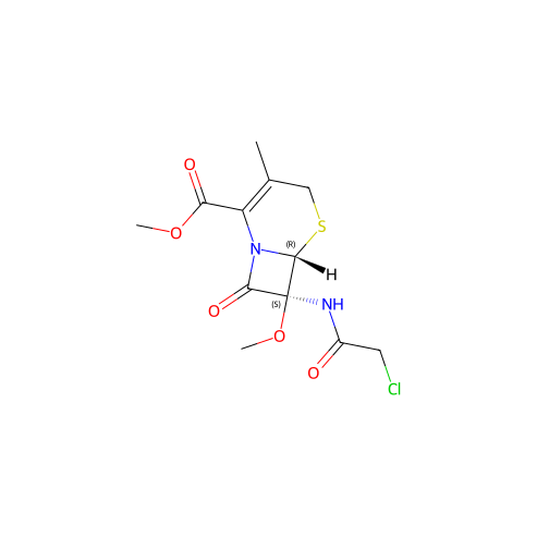 COC(=O)C1=C(C)CS[C@H]2N1C(=O)[C@]2(NC(=O)CCl)OC